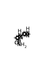 NC(=O)Oc1cccc2[nH]c(-c3ccc4[nH]cnc4c3)nc12